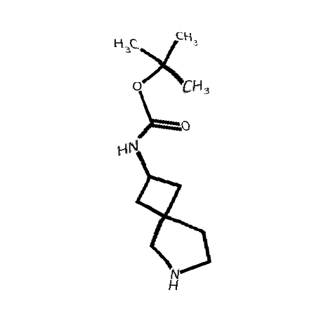 CC(C)(C)OC(=O)NC1CC2(CCNC2)C1